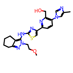 COCCn1nc2c(c1Nc1nc(-c3ccc(-n4cnc(C)c4)c(CO)n3)cs1)CCCC2